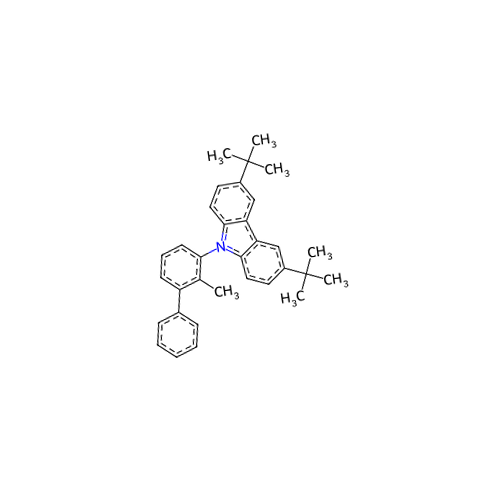 Cc1c(-c2ccccc2)cccc1-n1c2ccc(C(C)(C)C)cc2c2cc(C(C)(C)C)ccc21